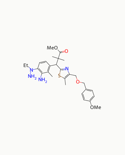 CCN(N)c1ccc(C(c2nc(COCc3ccc(OC)cc3)c(C)s2)C(C)(C)C(=O)OC)c(C)c1N